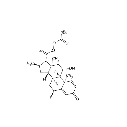 CCCCC(=O)OOC(=S)[C@H]1[C@H](C)C[C@H]2[C@@H]3C[C@H](F)C4=CC(=O)C=C[C@]4(C)[C@@]3(F)[C@@H](O)C[C@@]21C